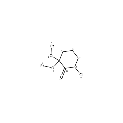 CCOC1(OCC)CCCC(Cl)C1=O